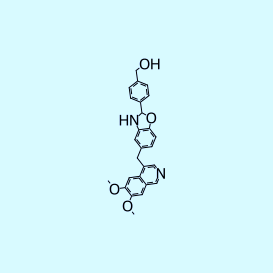 COc1cc2cncc(Cc3ccc4c(c3)NC(c3ccc(CO)cc3)O4)c2cc1OC